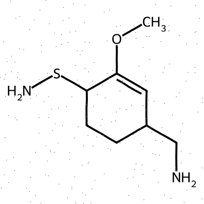 COC1=CC(CN)CCC1SN